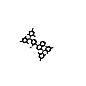 COc1cc(B(c2c(C)cc(C)cc2C)c2c(C)cc(C)cc2C)ccc1-c1ccc(B(c2c(C)cc(C)cc2C)c2c(C)cc(C)cc2C)c2ccccc12